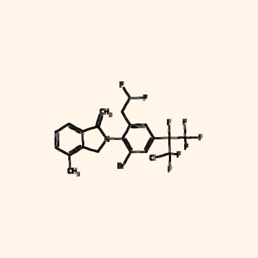 C=C1c2cccc(C)c2CN1c1c(Br)cc(C(F)(C(F)(F)F)C(F)(F)Cl)cc1CC(F)F